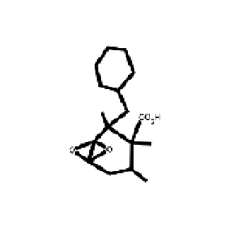 CC1CC23OC2(O3)C(C)(CC2CCCCC2)C1(C)C(=O)O